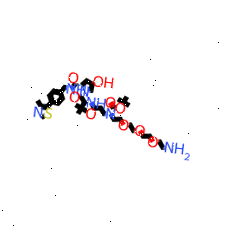 Cc1ncsc1-c1ccc(CNC(=O)[C@@H]2C[C@@H](O)CN2C(=O)[C@@H](NC(=O)CCN(CCOCCOCCOCCN)C(=O)OC(C)(C)C)C(C)(C)C)cc1